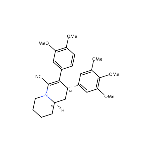 COc1ccc(C2=C(C#N)N3CCCC[C@@H]3C[C@H]2c2cc(OC)c(OC)c(OC)c2)cc1OC